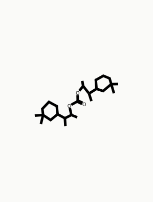 CC(OC(=O)OC(C)C(C)C1CCCC(C)(C)C1)C(C)C1CCCC(C)(C)C1